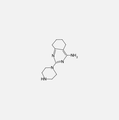 Nc1nc(N2CCNCC2)nc2c1CCCC2